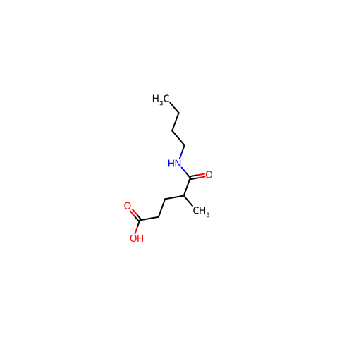 CCCCNC(=O)C(C)CCC(=O)O